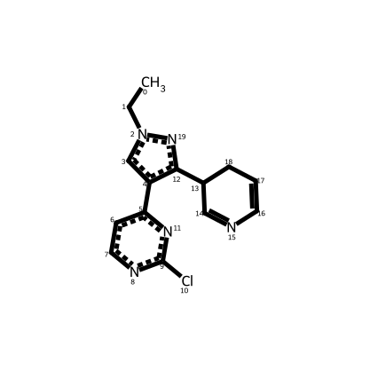 CCn1cc(-c2ccnc(Cl)n2)c(C2C=NC=CC2)n1